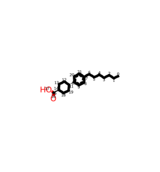 CCCCCCCc1ccc([C@H]2CC[C@H](C(=O)O)CC2)cc1